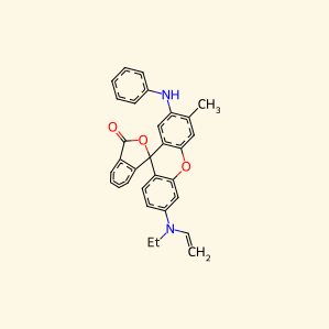 C=CN(CC)c1ccc2c(c1)Oc1cc(C)c(Nc3ccccc3)cc1C21OC(=O)c2ccccc21